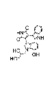 O=C1NC(=O)C(c2cn(CC(O)CO)c3c(O)cccc23)=C1c1c[nH]c2ccccc12